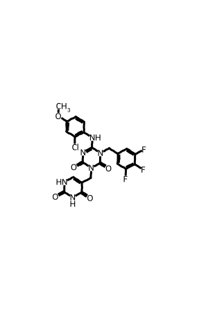 COc1ccc(Nc2nc(=O)n(Cc3c[nH]c(=O)[nH]c3=O)c(=O)n2Cc2cc(F)c(F)c(F)c2)c(Cl)c1